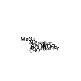 COc1ccc2c(C3CCN(S(=O)(=O)c4ccc(OC(C)C)cc4)CC3)cn(CC=O)c2n1